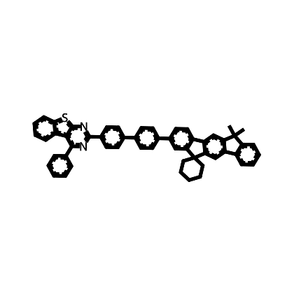 CC1(C)c2ccccc2-c2cc3c(cc21)-c1ccc(-c2ccc(-c4ccc(-c5nc(-c6ccccc6)c6c(n5)sc5ccccc56)cc4)cc2)cc1C31CCCCC1